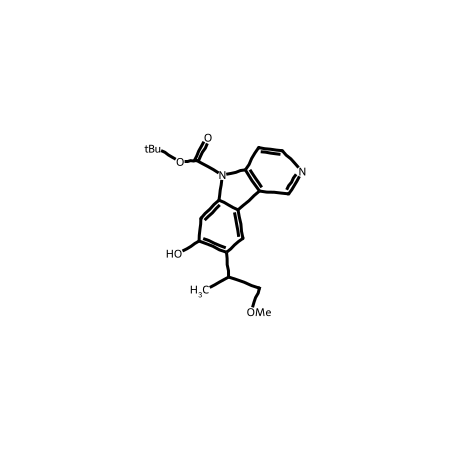 COCC(C)c1cc2c3cnccc3n(C(=O)OC(C)(C)C)c2cc1O